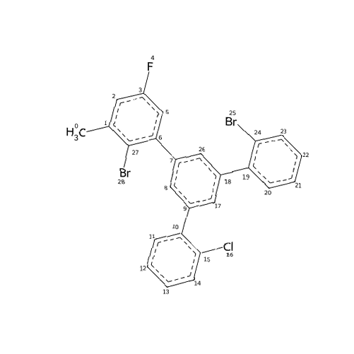 Cc1cc(F)cc(-c2cc(-c3ccccc3Cl)cc(-c3ccccc3Br)c2)c1Br